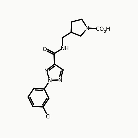 O=C(NCC1CCN(C(=O)O)C1)c1cnn(-c2cccc(Cl)c2)n1